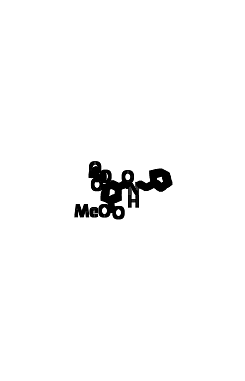 COC(=O)c1cc(OS(C)(=O)=O)cc(C(=O)NCCc2ccccc2)c1